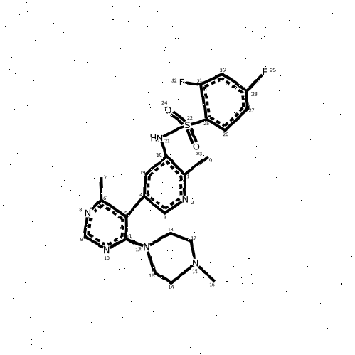 Cc1ncc(-c2c(C)ncnc2N2CCN(C)CC2)cc1NS(=O)(=O)c1ccc(F)cc1F